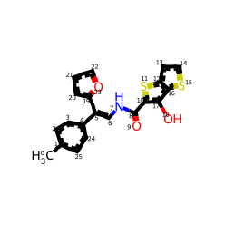 Cc1ccc(/C(=C/NC(=O)c2sc3ccsc3c2O)c2ccco2)cc1